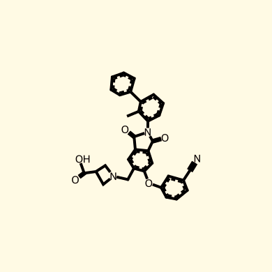 Cc1c(-c2ccccc2)cccc1N1C(=O)c2cc(CN3CC(C(=O)O)C3)c(Oc3cccc(C#N)c3)cc2C1=O